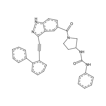 O=C(Nc1ccccc1)NC1CCN(C(=O)c2ccc3[nH]nc(C#Cc4ccccc4-c4ccccc4)c3c2)C1